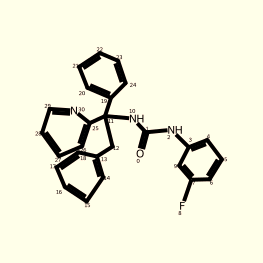 O=C(Nc1cccc(F)c1)NC(Cc1ccccc1)(c1ccccc1)c1ccccn1